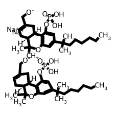 CCCCCCC(C)(C)c1cc2c(c(OP(=O)(O)O)c1)[C@H]1CC(C[O-])=CC[C@@H]1C(C)(C)O2.CCCCCCC(C)(C)c1cc2c(c(OP(=O)(O)O)c1)[C@H]1CC(C[O-])=CC[C@@H]1C(C)(C)O2.[Na+].[Na+]